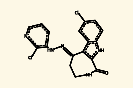 O=C1NCC/C(=N\Nc2cccnc2Cl)c2c1[nH]c1ccc(Cl)cc21